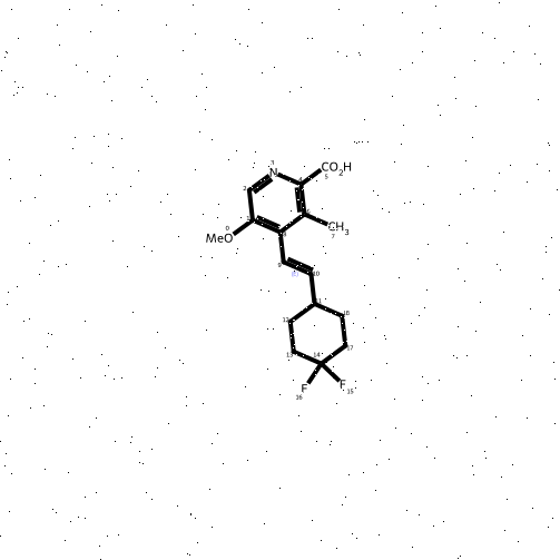 COc1cnc(C(=O)O)c(C)c1/C=C/C1CCC(F)(F)CC1